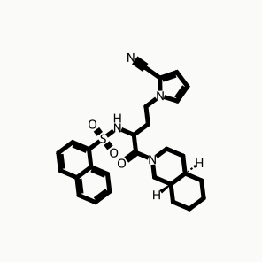 N#Cc1cccn1CCC(NS(=O)(=O)c1cccc2ccccc12)C(=O)N1CC[C@H]2CCCC[C@@H]2C1